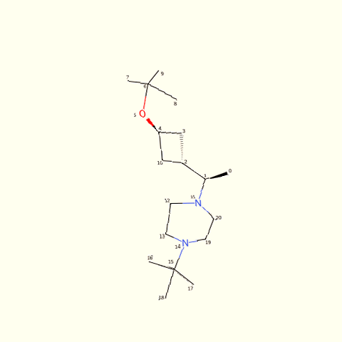 C[C@H]([C@H]1C[C@H](OC(C)(C)C)C1)N1CCN(C(C)(C)C)CC1